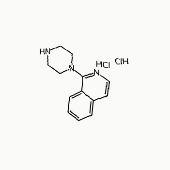 Cl.Cl.c1ccc2c(N3CCNCC3)nccc2c1